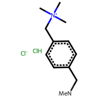 CNCc1ccc(C[N+](C)(C)C)cc1.Cl.[Cl-]